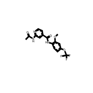 COc1cc(OC(F)(F)F)ccc1NC(=O)c1ccnc(NC(C)=O)c1